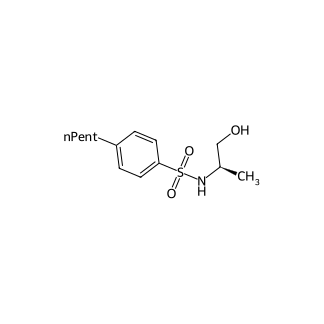 CCCCCc1ccc(S(=O)(=O)N[C@H](C)CO)cc1